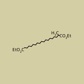 CCOC(=O)CCCCCCCCCCCCCCCCC(C)C(=O)OCC